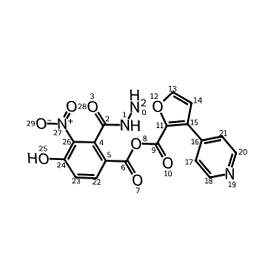 NNC(=O)c1c(C(=O)OC(=O)c2occc2-c2ccncc2)ccc(O)c1[N+](=O)[O-]